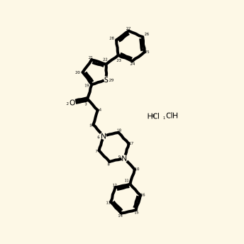 Cl.Cl.O=C(CCN1CCN(Cc2ccccc2)CC1)c1ccc(-c2ccccc2)s1